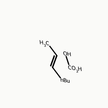 CC=CCCCC.O=C(O)O